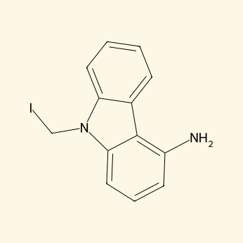 Nc1cccc2c1c1ccccc1n2CI